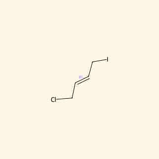 ClC/C=C/CI